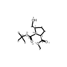 COC(=O)[C@@H]1CC[C@H](CO)N1C(=O)OC(C)(C)C